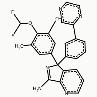 Cc1cc(C2(c3cccc(-c4cnccn4)c3)N=C(N)c3ncccc32)cc(C)c1OC(F)F